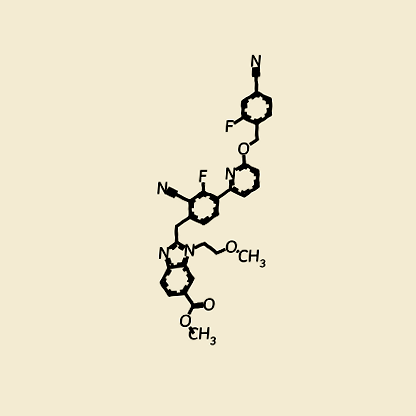 COCCn1c(Cc2ccc(-c3cccc(OCc4ccc(C#N)cc4F)n3)c(F)c2C#N)nc2ccc(C(=O)OC)cc21